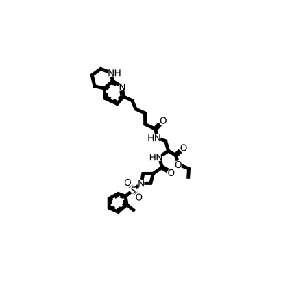 CCOC(=O)C(CNC(=O)CCCCc1ccc2c(n1)NCCC2)NC(=O)C1CN(S(=O)(=O)c2ccccc2C)C1